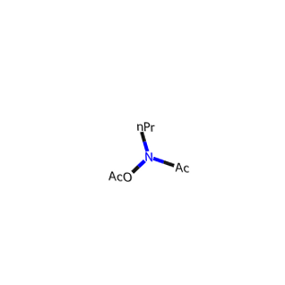 CCCN(OC(C)=O)C(C)=O